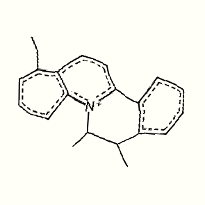 Cc1cccc2c1ccc1[n+]2C(C)C(C)c2ccccc2-1